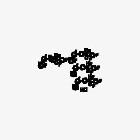 CC1=C(c2ccc(NC(=O)c3c(F)cc(F)cc3F)cc2)CN(c2ncccc2F)CC1.CC1=C(c2ccc(NC(=O)c3c(F)cc(F)cc3F)cc2)CN(c2nccs2)CC1.CC1=C(c2ccc(NC(=O)c3c(F)cc(F)cc3F)cc2)CN(c2nccs2)CC1.CC1=C(c2cnc(NC(=O)c3c(F)cc(F)cc3F)cn2)CN(c2ncccc2F)CC1.Cl